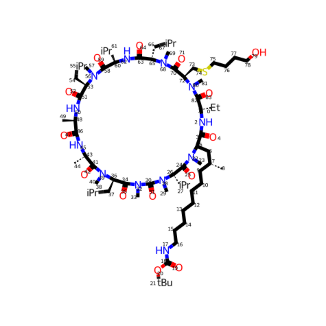 CC[C@@H]1NC(=O)C(C[C@H](C)CCCCCCCCNC(=O)OC(C)(C)C)N(C)C(=O)[C@H](C(C)C)N(C)C(=O)N(C)C(=O)[C@@H](CC(C)C)N(C)C(=O)[C@H](C)NC(=O)[C@@H](C)NC(=O)[C@@H](CC(C)C)N(C)C(=O)[C@@H](C(C)C)NC(=O)[C@H](CC(C)C)N(C)C(=O)[C@@H](CSCCCCO)N(C)C1=O